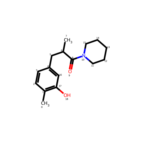 Cc1ccc(CC(C)C(=O)N2CCCCC2)cc1O